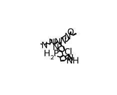 C=CC(=O)N1CCN(c2nc(N(C)CCN(C)C)nc3c(P)c(-c4c(C)ccc5[nH]ncc45)c(Cl)cc23)CC1